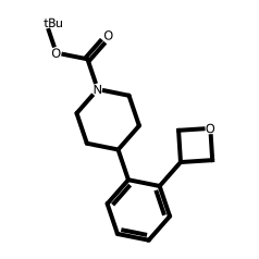 CC(C)(C)OC(=O)N1CCC(c2ccccc2C2COC2)CC1